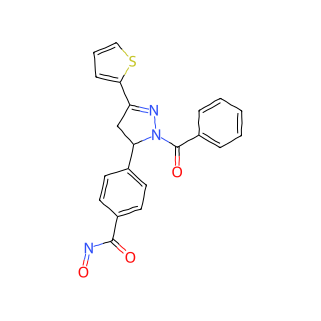 O=NC(=O)c1ccc(C2CC(c3cccs3)=NN2C(=O)c2ccccc2)cc1